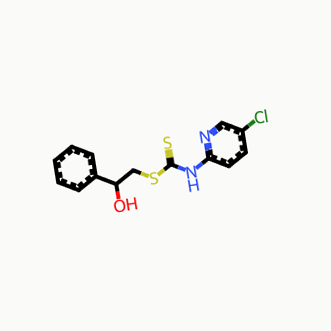 OC(CSC(=S)Nc1ccc(Cl)cn1)c1ccccc1